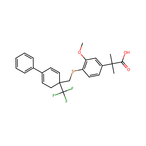 COc1cc(C(C)(C)C(=O)O)ccc1SCC1(C(F)(F)F)C=CC(c2ccccc2)=CC1